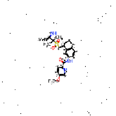 CNC(=N)C(C)(C)S(=O)(=O)CC1CCCc2ccc(NC(=O)c3ccc(OC(F)(F)F)cn3)cc21